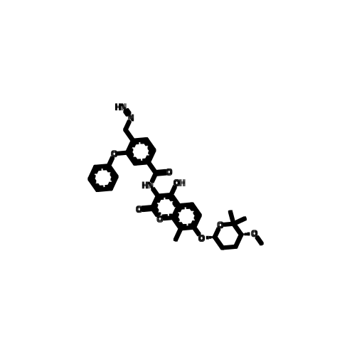 CO[C@@H]1CC[C@H](Oc2ccc3c(O)c(NC(=O)c4ccc(CN=N)c(Oc5ccccc5)c4)c(=O)oc3c2C)OC1(C)C